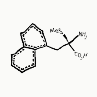 CS[C@](N)(Cc1cccc2ccccc12)C(=O)O